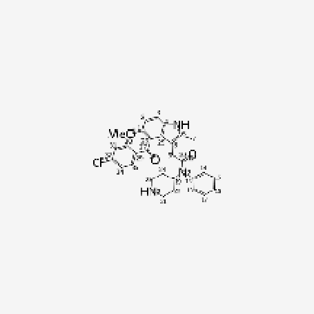 COc1ccc2[nH]c(C)c(CC(=O)N(c3ccccc3)C3CCNCC3)c2c1C(=O)c1ccc(Cl)cc1